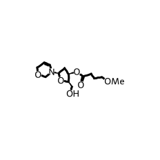 COCCCC(=O)O[C@@H]1C[C@H](N2C=CCOC2)O[C@@H]1CO